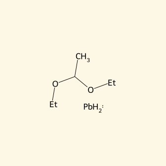 CCOC(C)OCC.[PbH2]